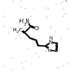 C=C(CCCc1ncc[nH]1)C(N)=O